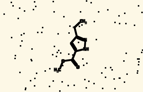 C[CH]c1cc(C(=O)OC)[nH]n1